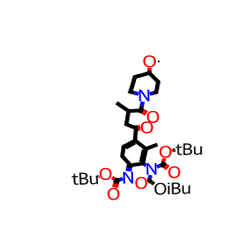 CC1=C(N(C(=O)OCC(C)C)C(=O)OC(C)(C)C)C(=NC(=O)OC(C)(C)C)CC=C1C(=O)CC(C)C(=O)N1CCC([O])CC1